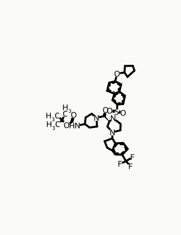 CC(C)(C)OC(=O)NC1CCN(C(=O)[C@@H]2CN(C3CCc4cc(C(F)(F)F)ccc43)CCN2S(=O)(=O)c2ccc3cc(OC4CCCC4)ccc3c2)CC1